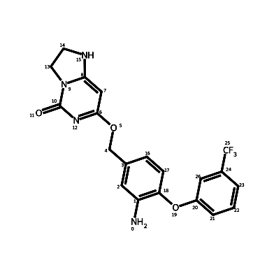 Nc1cc(COc2cc3n(c(=O)n2)CCN3)ccc1Oc1cccc(C(F)(F)F)c1